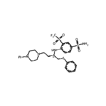 CC(C)N1CCN(CC[C@H](CSc2ccccc2)Nc2ccc(S(N)(=O)=O)cc2S(=O)(=O)C(F)(F)F)CC1